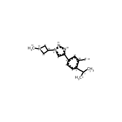 CC(C)c1ccc(-c2cn(C3CN(C)C3)nn2)cc1F